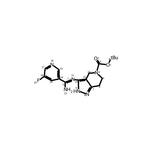 CC(C)(C)OC(=O)N1CCc2n[nH]c(/N=C(\N)c3cncc(F)c3)c2C1